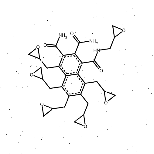 NC(=O)c1c(C(N)=O)c(C(=O)NCC2CO2)c2c(CC3CO3)c(CC3CO3)c(CC3CO3)c(CC3CO3)c2c1CC1CO1